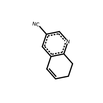 N#Cc1cnc2c(c1)C=CCC2